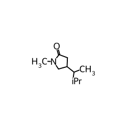 CC(C)C(C)C1CC(=O)N(C)C1